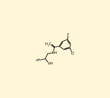 C=C(NCC(CCC)CCC)c1cc(F)cc(Cl)c1